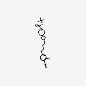 CC(C)(C)OC(=O)N1CCC2(CC1)CC(CCCCc1ccc(C#N)c(F)c1)C2